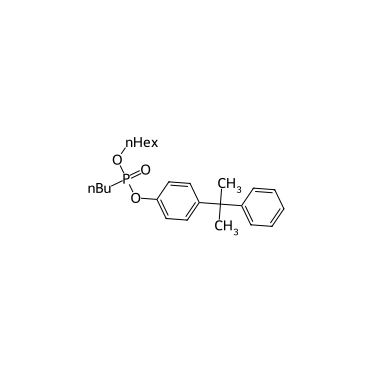 CCCCCCOP(=O)(CCCC)Oc1ccc(C(C)(C)c2ccccc2)cc1